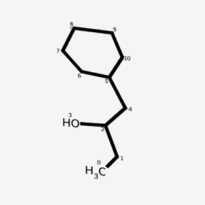 CCC(O)CC1CC[CH]CC1